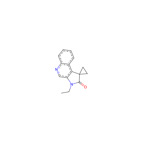 CCN1C(=O)C2(CC2)c2c1cnc1ccccc21